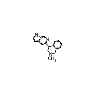 CN1Cc2ccccc2C(c2cc3ccnn3cn2)C1